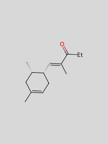 CCC(=O)/C(C)=C/[C@@H]1CC=C(C)C[C@@H]1C